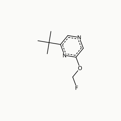 CC(C)(C)c1cncc(OCF)n1